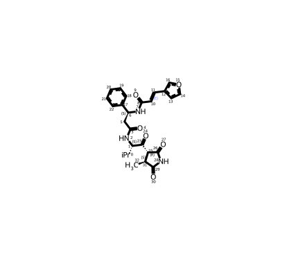 CC(C)[C@H](NC(=O)C[C@H](NC(=O)/C=C/c1ccoc1)c1ccccc1)C(=O)[C@@H]1C(=O)NC(=O)[C@H]1C